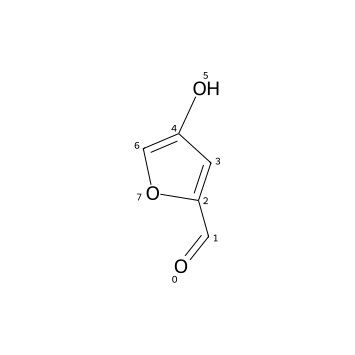 O=Cc1cc(O)co1